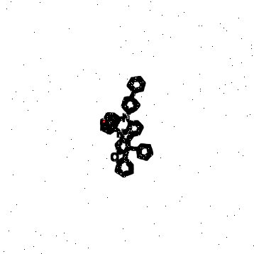 c1ccc(-c2ccc(N(c3ccccc3)c3cccc4c5c(-c6ccccc6)c6c(cc5n(-c5ccccc5)c34)oc3ccccc36)cc2)cc1